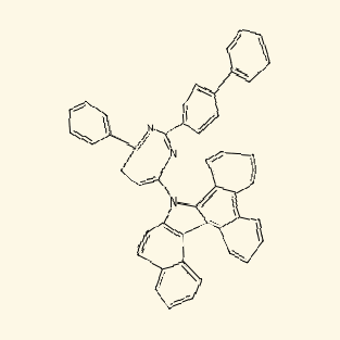 C1=C(n2c3ccc4ccccc4c3c3c4ccccc4c4ccccc4c32)N=C(c2ccc(-c3ccccc3)cc2)N=C(c2ccccc2)C1